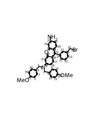 COc1ccc(C[N+](Cc2ccc(OC)cc2)=c2ccc3c(-c4cccc(CBr)c4)c4ccc(N)cc4oc-3c2)cc1